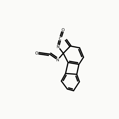 C=C1C=CC2=C(c3ccccc32)C1(N=C=O)N=C=O